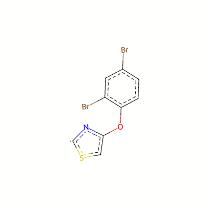 Brc1ccc(Oc2cs[c]n2)c(Br)c1